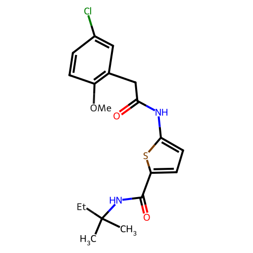 CCC(C)(C)NC(=O)c1ccc(NC(=O)Cc2cc(Cl)ccc2OC)s1